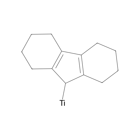 [Ti][CH]1C2=C(CCCC2)C2=C1CCCC2